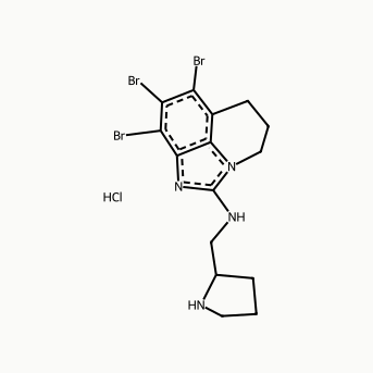 Brc1c(Br)c2c3c(nc(NCC4CCCN4)n3CCC2)c1Br.Cl